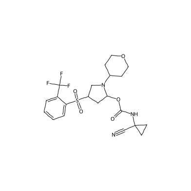 N#CC1(NC(=O)OC2CC(S(=O)(=O)c3ccccc3C(F)(F)F)CN2C2CCOCC2)CC1